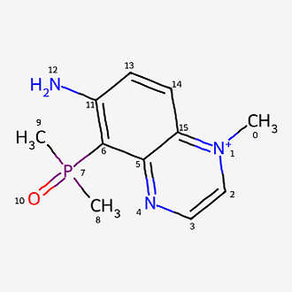 C[n+]1ccnc2c(P(C)(C)=O)c(N)ccc21